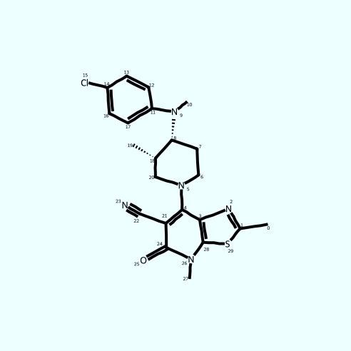 Cc1nc2c(N3CC[C@@H](N(C)c4ccc(Cl)cc4)[C@@H](C)C3)c(C#N)c(=O)n(C)c2s1